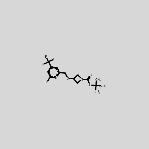 CC(C)(C)OC(=O)N1CC(OCc2cc(C(F)(F)F)cc(Br)n2)C1